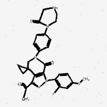 COc1ccc(-n2nc(C(N)=O)c3c2C(=O)N(c2ccc(N4CCNCC4=O)cc2)CC32CC2)c(F)c1